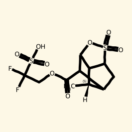 C[C@H]1C2CC3C1C(OS3(=O)=O)C2C(=O)OCC(F)(F)S(=O)(=O)O